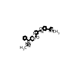 Cc1nnn(C(c2ccccc2)C2CCN(C(=O)c3cc(-c4nc5cc(-c6ccn(C)n6)ccc5o4)ccn3)CC2)n1